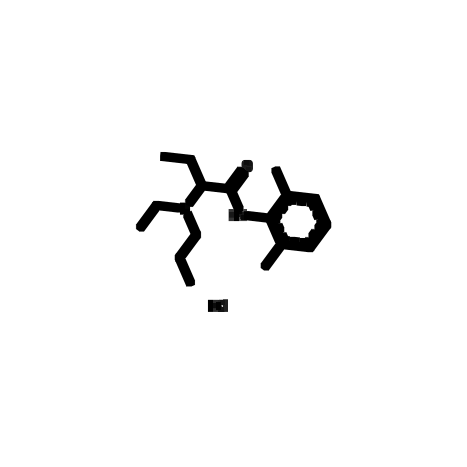 CCCN(CC)C(CC)C(=O)Nc1c(C)cccc1C.Cl